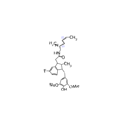 C=N/C(=C\C=C/C)CNC(=O)CC1c2cc(F)ccc2C(Cc2cc(OC)c(O)c(OC)c2)C1C